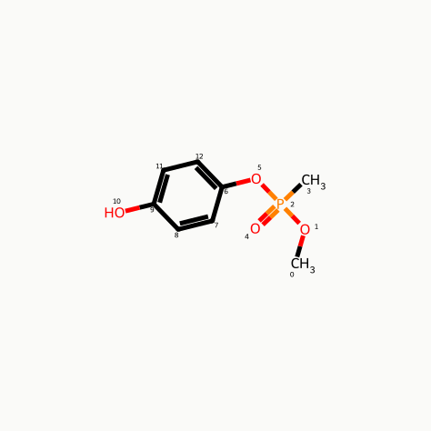 COP(C)(=O)Oc1ccc(O)cc1